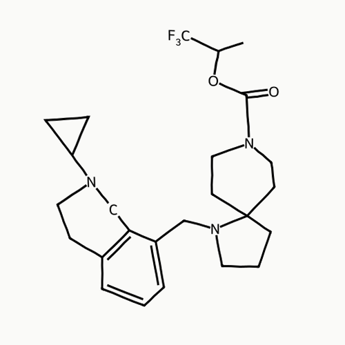 CC(OC(=O)N1CCC2(CCCN2Cc2cccc3c2CN(C2CC2)CC3)CC1)C(F)(F)F